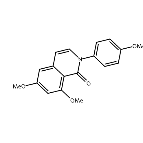 COc1ccc(-n2ccc3cc(OC)cc(OC)c3c2=O)cc1